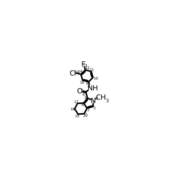 Cn1cc2c(c1C(=O)Nc1ccc(F)c(Cl)c1)CCC[CH]2